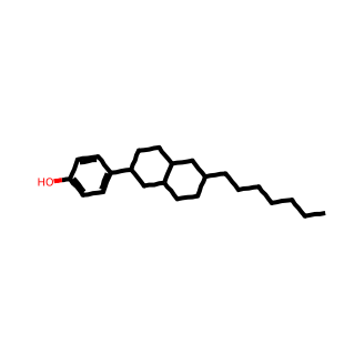 CCCCCCCC1CCC2CC(c3ccc(O)cc3)CCC2C1